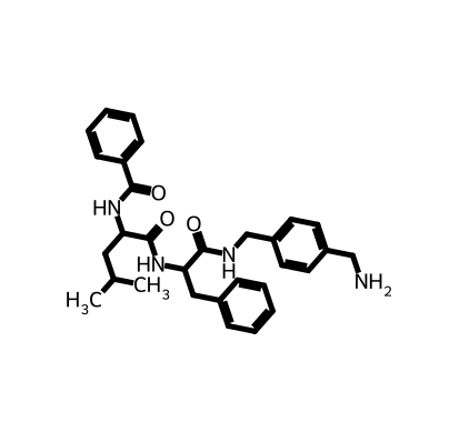 CC(C)CC(NC(=O)c1ccccc1)C(=O)NC(Cc1ccccc1)C(=O)NCc1ccc(CN)cc1